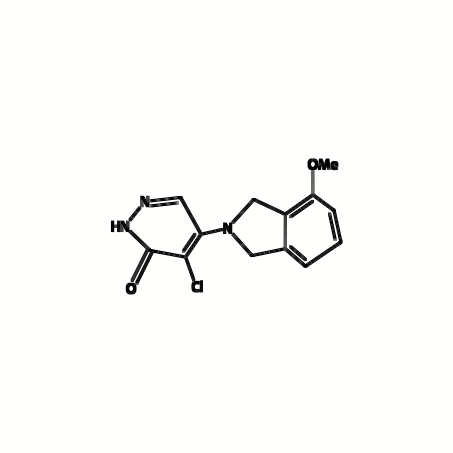 COc1cccc2c1CN(c1cn[nH]c(=O)c1Cl)C2